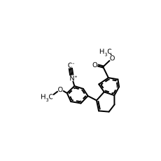 [C-]#[N+]c1cc(C2=CCCc3ccc(C(=O)OC)cc32)ccc1OC